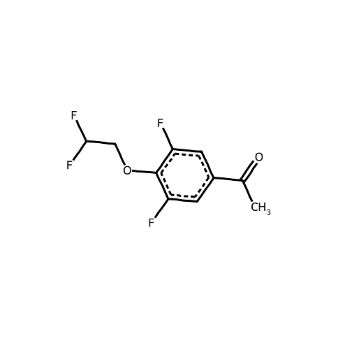 CC(=O)c1cc(F)c(OCC(F)F)c(F)c1